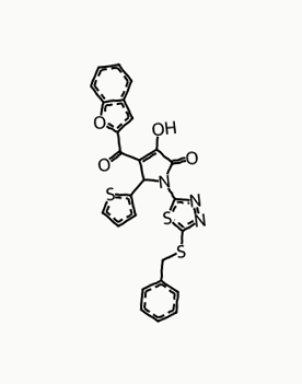 O=C(C1=C(O)C(=O)N(c2nnc(SCc3ccccc3)s2)C1c1cccs1)c1cc2ccccc2o1